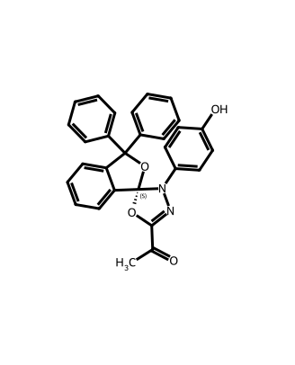 CC(=O)C1=NN(c2ccc(O)cc2)[C@]2(O1)OC(c1ccccc1)(c1ccccc1)c1ccccc12